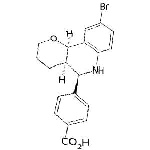 O=C(O)c1ccc([C@@H]2Nc3ccc(Br)cc3[C@@H]3OCCC[C@H]23)cc1